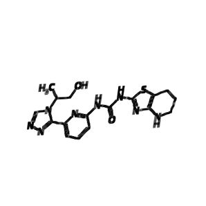 CC(CO)n1cnnc1-c1cccc(NC(=O)Nc2nc3c(s2)CCCN3)n1